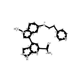 Cn1cc(-c2cc(C(N)=O)nc3[nH]ncc23)c2cc(OCCc3ccncc3)ccc21